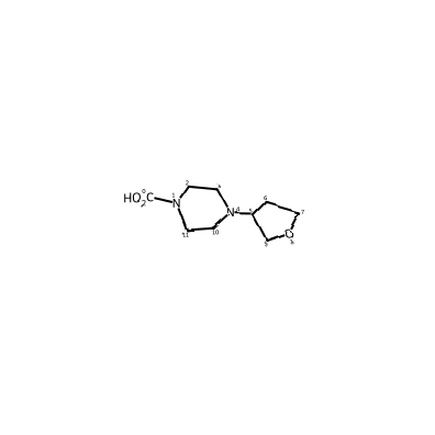 O=C(O)N1CCN(C2CCOC2)CC1